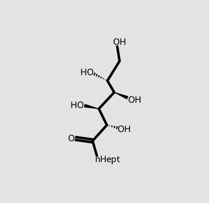 CCCCCCCC(=O)[C@@H](O)[C@@H](O)[C@H](O)[C@H](O)CO